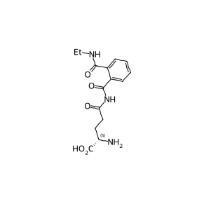 CCNC(=O)c1ccccc1C(=O)NC(=O)CC[C@H](N)C(=O)O